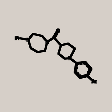 CC(=O)c1ccc(N2CCC(C(=O)N3CCCN(C(C)C)CC3)CC2)cc1